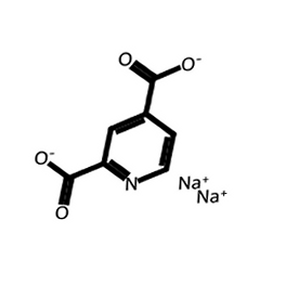 O=C([O-])c1ccnc(C(=O)[O-])c1.[Na+].[Na+]